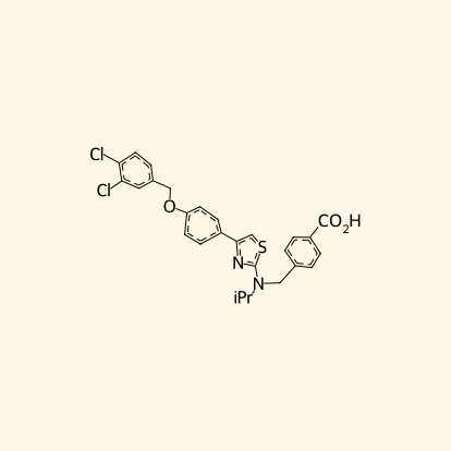 CC(C)N(Cc1ccc(C(=O)O)cc1)c1nc(-c2ccc(OCc3ccc(Cl)c(Cl)c3)cc2)cs1